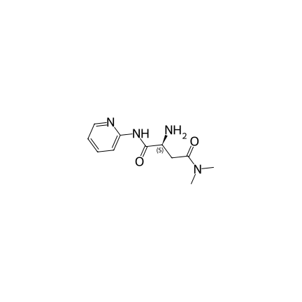 CN(C)C(=O)C[C@H](N)C(=O)Nc1ccccn1